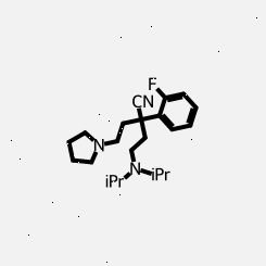 CC(C)N(CCC(C#N)(CCN1CCCC1)c1ccccc1F)C(C)C